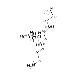 Cl.Cl.Cl.Cl.NCCCNCCNCCN